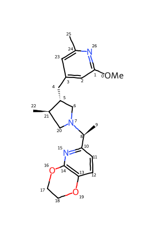 COc1cc(C[C@@H]2CN([C@@H](C)c3ccc4c(n3)OCCO4)C[C@H]2C)cc(C)n1